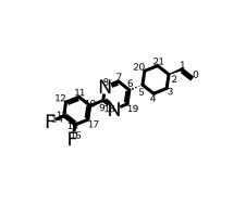 C=C[C@H]1CC[C@H](c2cnc(-c3ccc(F)c(F)c3)nc2)CC1